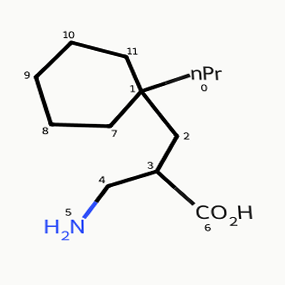 CCCC1(CC(CN)C(=O)O)CCCCC1